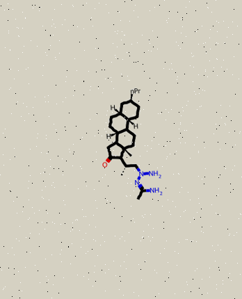 CCC[C@H]1CC[C@@H]2C3CC[C@@]4(C)C(CC(=O)C4[C@@H](C)CN(N)/N=C(/C)N)[C@@H]3CC[C@@H]2C1